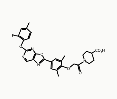 Cc1ccc(Oc2ncc3nc(-c4cc(C)c(OCC(=O)N5CCC(C(=O)O)CC5)c(C)c4)oc3n2)c(F)c1